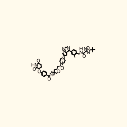 Cc1cc(-c2ncnn3cc(N4CCN(C(=O)CC5CC6(CO5)CN(C(=O)c5ccc(OC7CCC(=O)NC7=O)cc5)C6)CC4)cc23)ccc1CNC(=O)c1noc(C(C)(C)C)n1